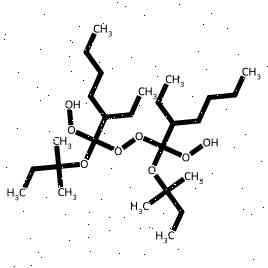 CCCCC(CC)C(OO)(OOC(OO)(OC(C)(C)CC)C(CC)CCCC)OC(C)(C)CC